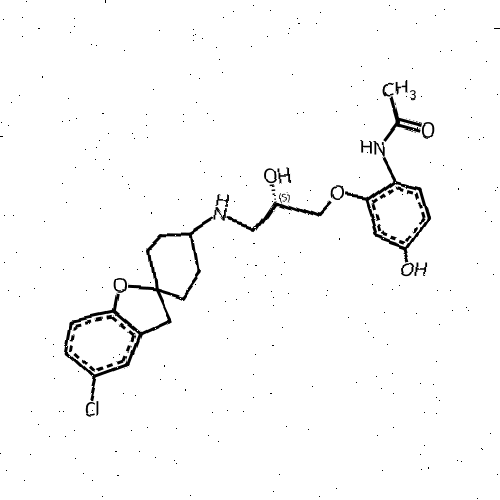 CC(=O)Nc1ccc(O)cc1OC[C@@H](O)CNC1CCC2(CC1)Cc1cc(Cl)ccc1O2